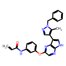 C=CC(=O)Nc1cccc(Oc2cnc3[nH]cc(-c4cnn(Cc5ccccc5)c4C)c3n2)c1